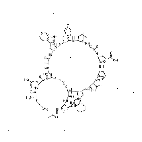 CC(=O)[C@@H]1CSSC[C@H](N)C(=O)N[C@@H](CC(=O)O)C(=O)N[C@H]2CSSC[C@H](NC(=O)[C@H](Cc3c[nH]c4ccccc34)NC(=O)[C@H](C(C)C)NC(=O)[C@H](CC(C)C)NC(=O)[C@H](CCC(=O)O)NC(=O)CNC(=O)[C@H](CC(C)C)NC(=O)[C@H](Cc3c[nH]cn3)NC(=O)[C@H](Cc3c[nH]c4ccccc34)NC(=O)[C@H](C)NC2=O)C(=O)NC([C@@H](C)O)C(=O)N1